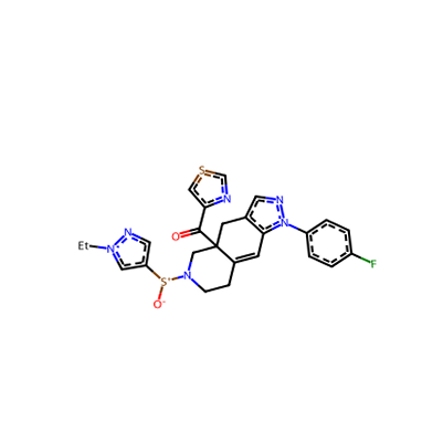 CCn1cc([S+]([O-])N2CCC3=Cc4c(cnn4-c4ccc(F)cc4)CC3(C(=O)c3cscn3)C2)cn1